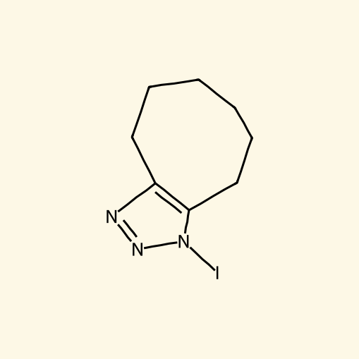 In1nnc2c1CCCCCC2